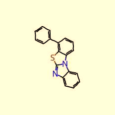 c1ccc(-c2cccc3c2sc2nc4ccccc4n23)cc1